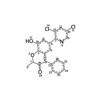 CC(Oc1ccc(-c2ncc(Cl)cc2Cl)cc1O)C(=O)Sc1ccccc1